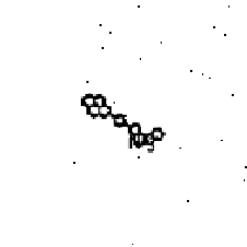 c1cc2ccc3cc(-c4ccc(-c5ccc6c(c5)ncc5sc7ccccc7c56)cc4)cc4ccc(c1)c2c34